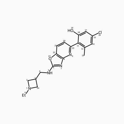 CCN1CC(CNc2nc3nc(-c4c(C)cc(Cl)cc4O)ccc3o2)C1